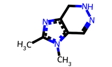 Cc1nc2c(n1C)C=NNC2